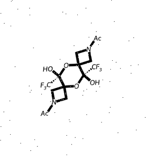 CC(=O)N1CC2(C1)O[C@@](O)(C(F)(F)F)C1(CN(C(C)=O)C1)O[C@@]2(O)C(F)(F)F